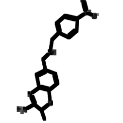 CC1Oc2ccc(CNCc3ccc([N+](=O)[O-])cc3)cc2N=C1N